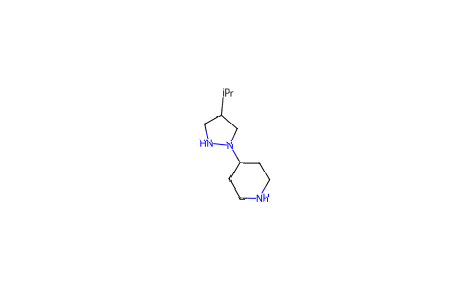 CC(C)C1CNN(C2CCNCC2)C1